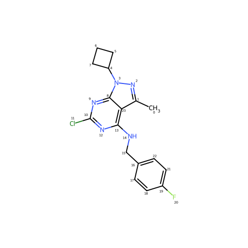 Cc1nn(C2CCC2)c2nc(Cl)nc(NCc3ccc(F)cc3)c12